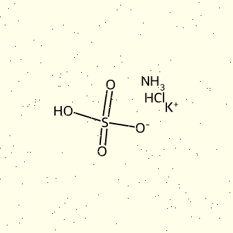 Cl.N.O=S(=O)([O-])O.[K+]